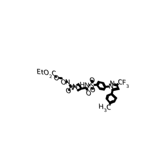 CCOC(=O)OCON=[N+]([O-])N1CC(C(=O)NS(=O)(=O)c2ccc(-n3nc(C(F)(F)F)cc3-c3ccc(C)cc3)cc2)C1